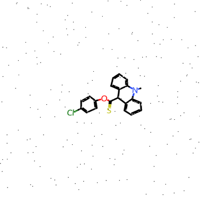 CN1c2ccccc2C(C(=S)Oc2ccc(Cl)cc2)c2ccccc21